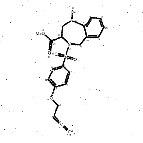 C=C=CCOc1ccc(S(=O)(=O)N2Cc3ccccc3N(C(C)=O)CC2C(=O)OC)cc1